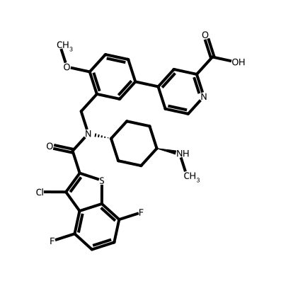 CN[C@H]1CC[C@H](N(Cc2cc(-c3ccnc(C(=O)O)c3)ccc2OC)C(=O)c2sc3c(F)ccc(F)c3c2Cl)CC1